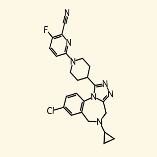 N#Cc1nc(N2CCC(c3nnc4n3-c3ccc(Cl)cc3CN(C3CC3)C4)CC2)ccc1F